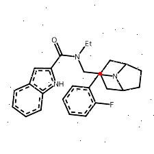 CCN(CC1CC2CCC(C1)N2Cc1ccccc1F)C(=O)c1cc2ccccc2[nH]1